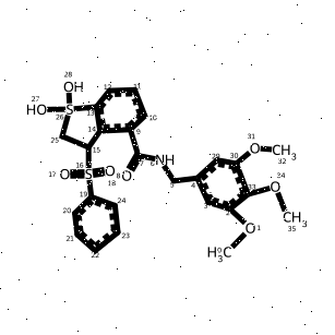 COc1cc(CNC(=O)c2cccc3c2C(S(=O)(=O)c2ccccc2)CS3(O)O)cc(OC)c1OC